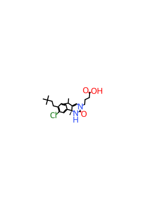 CC(C)C1=CN(CCCC(=O)O)C(=O)N[C@]1(C)c1ccc(CCC(C)(C)C)c(Cl)c1